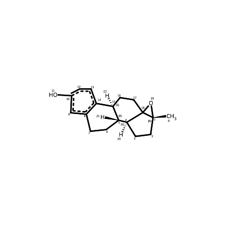 C[C@@]12CC[C@H]3[C@@H]4CCc5cc(O)ccc5[C@H]4CCC31O2